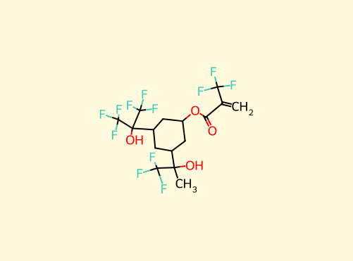 C=C(C(=O)OC1CC(C(C)(O)C(F)(F)F)CC(C(O)(C(F)(F)F)C(F)(F)F)C1)C(F)(F)F